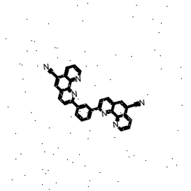 N#Cc1cc2ccc(-c3cccc(-c4ccc5cc(C#N)c6cccnc6c5n4)c3)nc2c2ncccc12